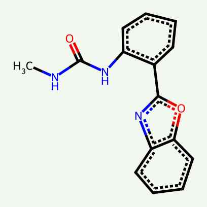 CNC(=O)Nc1ccccc1-c1nc2ccccc2o1